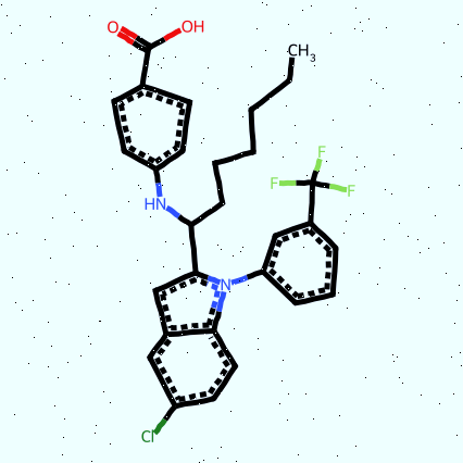 CCCCCCC(Nc1ccc(C(=O)O)cc1)c1cc2cc(Cl)ccc2n1-c1cccc(C(F)(F)F)c1